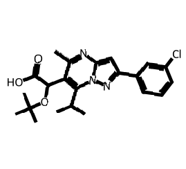 Cc1nc2cc(-c3cccc(Cl)c3)nn2c(C(C)C)c1C(OC(C)(C)C)C(=O)O